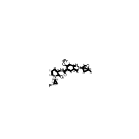 CC(C)Oc1cc2nn(C34COC(C)(C3)C4)cc2cc1C(=O)Nc1cccn([C@@H]2C[C@@H]2F)c1=O